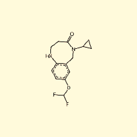 O=C1CCNc2ccc(OC(F)F)cc2CN1C1CC1